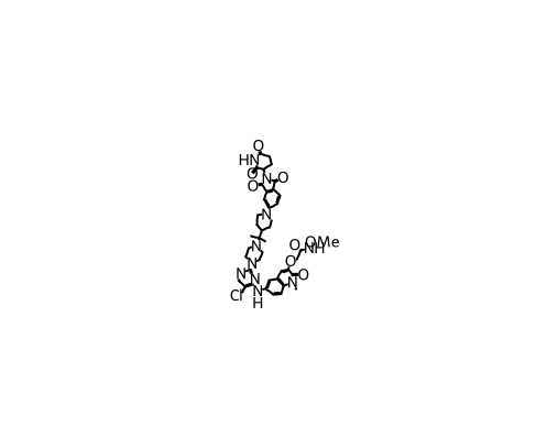 CONC(=O)COc1cc2cc(Nc3nc(N4CCN(C(C)(C)C5CCN(c6ccc7c(c6)C(=O)N(C6CCC(=O)NC6=O)C7=O)CC5)CC4)ncc3Cl)ccc2n(C)c1=O